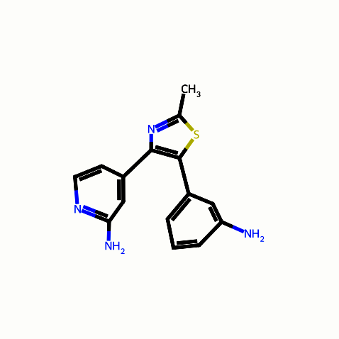 Cc1nc(-c2ccnc(N)c2)c(-c2cccc(N)c2)s1